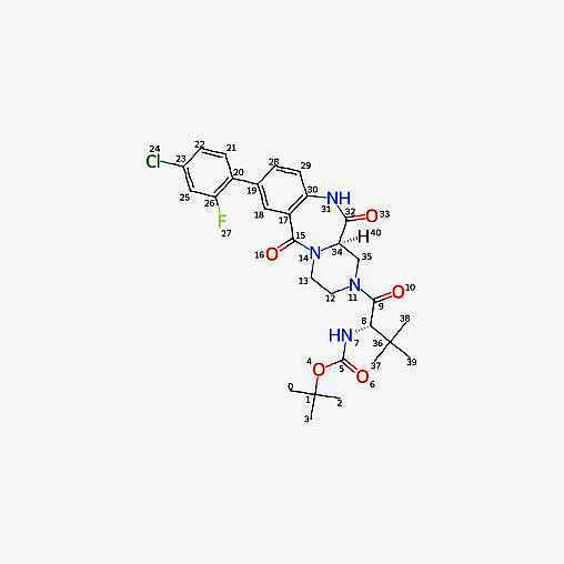 CC(C)(C)OC(=O)N[C@H](C(=O)N1CCN2C(=O)c3cc(-c4ccc(Cl)cc4F)ccc3NC(=O)[C@H]2C1)C(C)(C)C